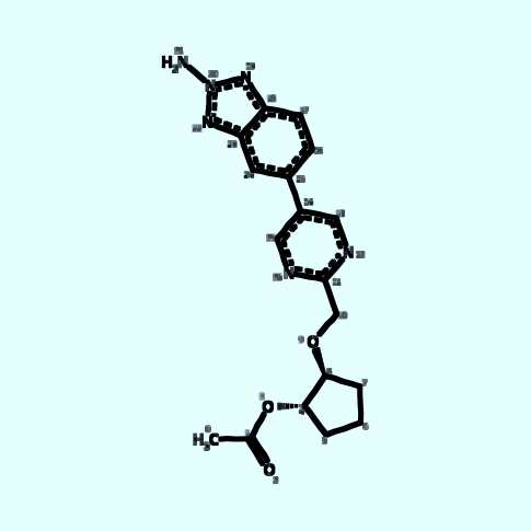 CC(=O)O[C@H]1CCC[C@@H]1OCc1ncc(-c2ccc3nn(N)nc3c2)cn1